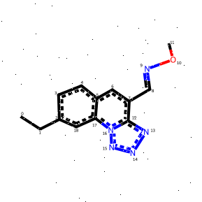 CCc1ccc2cc(/C=N/OC)c3nnnn3c2c1